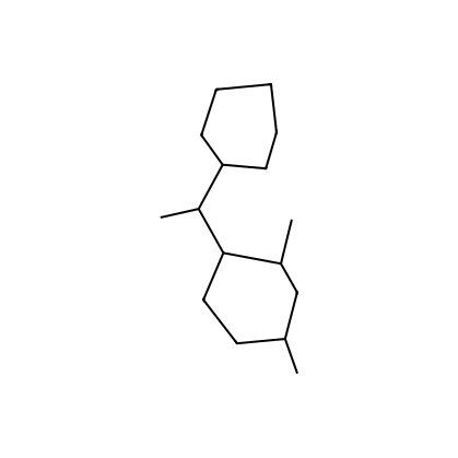 CC1CCC(C(C)C2CCCCC2)C(C)C1